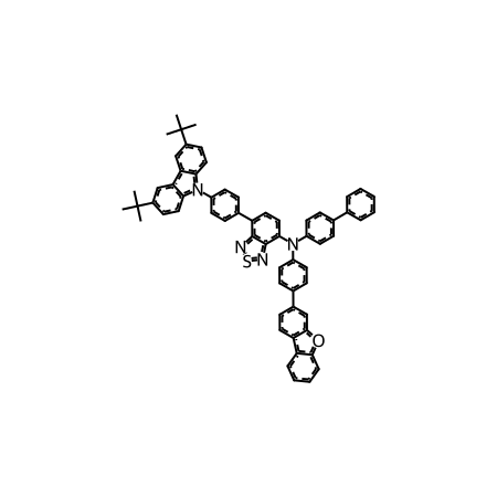 CC(C)(C)c1ccc2c(c1)c1cc(C(C)(C)C)ccc1n2-c1ccc(-c2ccc(N(c3ccc(-c4ccccc4)cc3)c3ccc(-c4ccc5c(c4)oc4ccccc45)cc3)c3nsnc23)cc1